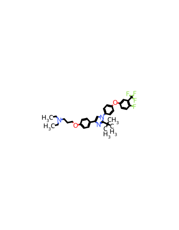 CCN(CC)CCCOc1ccc(-c2cn(-c3ccc(Oc4ccc(F)c(C(F)(F)F)c4)cc3)c(C(C)(C)C)n2)cc1